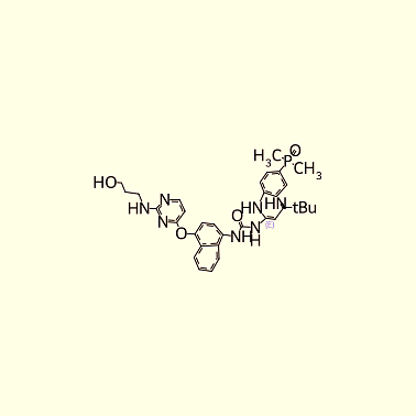 CC(C)(C)C(=N)/C=C(/NC(=O)Nc1ccc(Oc2ccnc(NCCCO)n2)c2ccccc12)Nc1ccc(P(C)(C)=O)cc1